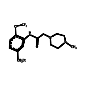 CCOC(=O)c1ccc(OC(F)(F)F)c(NC(=O)CN2CCN(C)CC2)c1